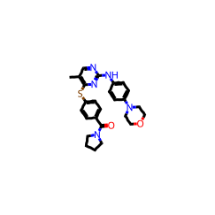 Cc1cnc(Nc2ccc(N3CCOCC3)cc2)nc1Sc1ccc(C(=O)N2CCCC2)cc1